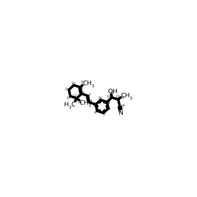 CC1=C(C=Cc2cccc(C(O)C(C)C#N)c2)C(C)(C)CCC1